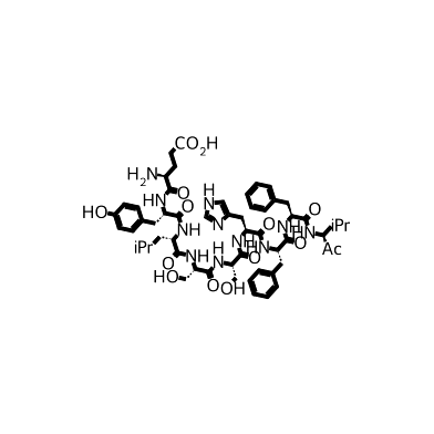 CC(=O)[C@@H](NC(=O)[C@H](Cc1ccccc1)NC(=O)[C@H](Cc1ccccc1)NC(=O)[C@H](Cc1c[nH]cn1)NC(=O)[C@H](CO)NC(=O)[C@H](CO)NC(=O)[C@H](CC(C)C)NC(=O)[C@H](Cc1ccc(O)cc1)NC(=O)[C@@H](N)CCC(=O)O)C(C)C